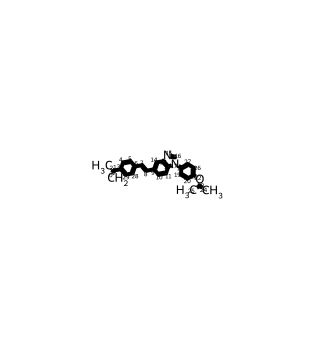 C=C(C)c1ccc(C=Cc2ccc3c(c2)ncn3-c2ccc(OC(C)C)cc2)cc1